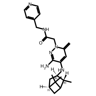 C=C1C=C(N[C@@H]2C[C@@H]3CC([C@H]2C)C3(C)C)C(N)=NN1CC(=O)NCc1ccncc1